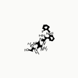 N=C(c1nc(N)c(NC(=O)CO)c(N)n1)c1cccc(F)c1NCc1ccccc1F